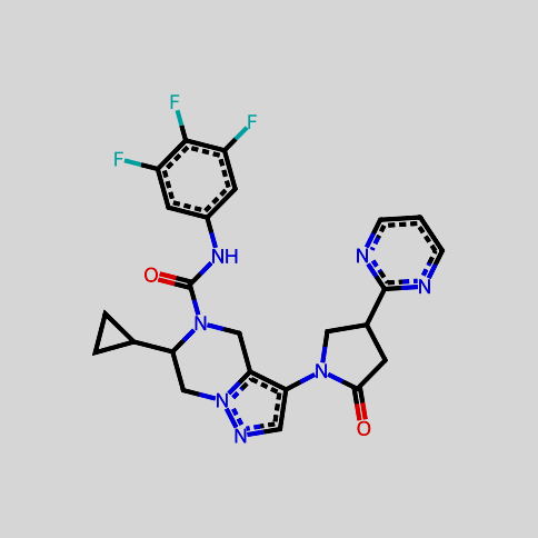 O=C1CC(c2ncccn2)CN1c1cnn2c1CN(C(=O)Nc1cc(F)c(F)c(F)c1)C(C1CC1)C2